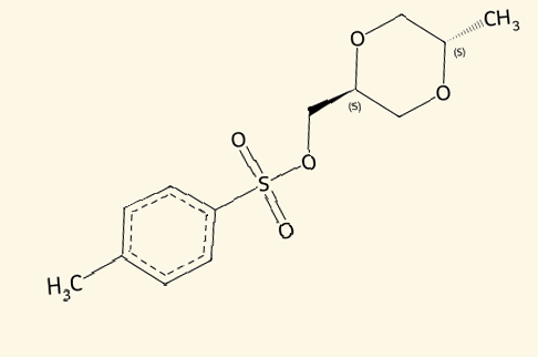 Cc1ccc(S(=O)(=O)OC[C@@H]2CO[C@@H](C)CO2)cc1